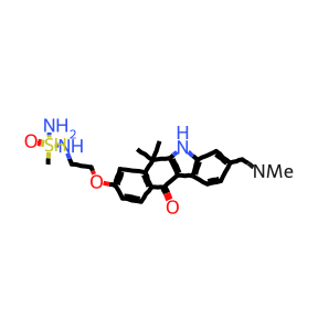 CNCc1ccc2c3c([nH]c2c1)C(C)(C)c1cc(OCCN[SH](C)(N)=O)ccc1C3=O